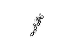 O=C(c1ccc2c(c1)C(NS(=O)(=O)Cc1ccccc1F)CC2)N1CCC2(CC1)CCN(c1ccncc1)C2